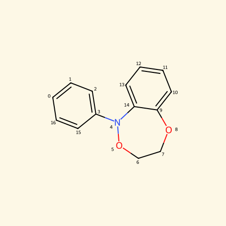 c1ccc(N2OCCOc3ccccc32)cc1